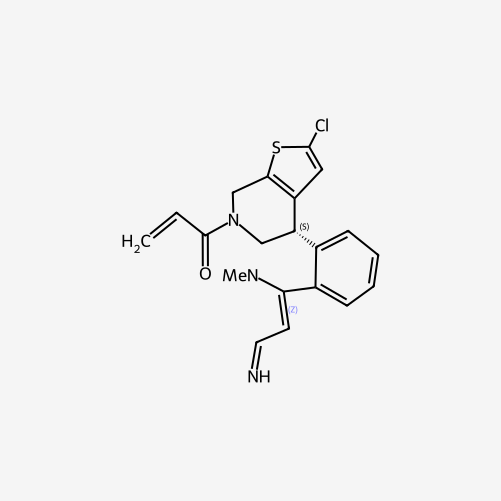 C=CC(=O)N1Cc2sc(Cl)cc2[C@H](c2ccccc2/C(=C/C=N)NC)C1